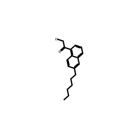 CCCCCCc1ccc2c(C(=O)CCl)cccc2c1